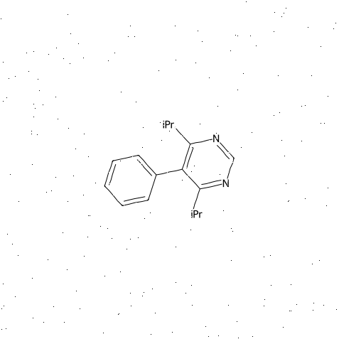 CC(C)c1ncnc(C(C)C)c1-c1ccccc1